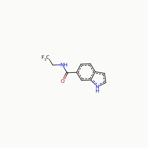 O=C(NCC(F)(F)F)c1ccc2cc[nH]c2c1